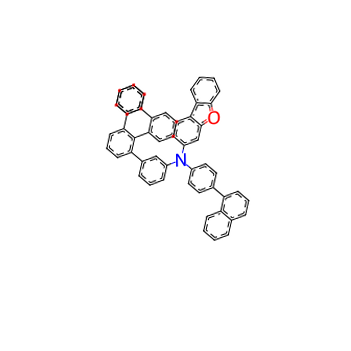 c1ccc(-c2ccccc2-c2c(-c3ccccc3)cccc2-c2cccc(N(c3ccc(-c4cccc5ccccc45)cc3)c3ccc4c(c3)oc3ccccc34)c2)cc1